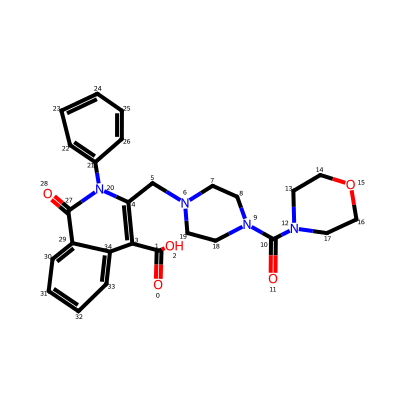 O=C(O)c1c(CN2CCN(C(=O)N3CCOCC3)CC2)n(-c2ccccc2)c(=O)c2ccccc12